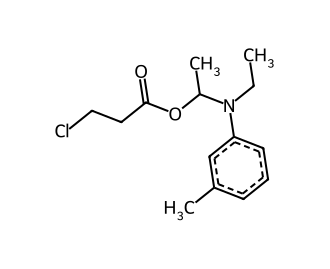 CCN(c1cccc(C)c1)C(C)OC(=O)CCCl